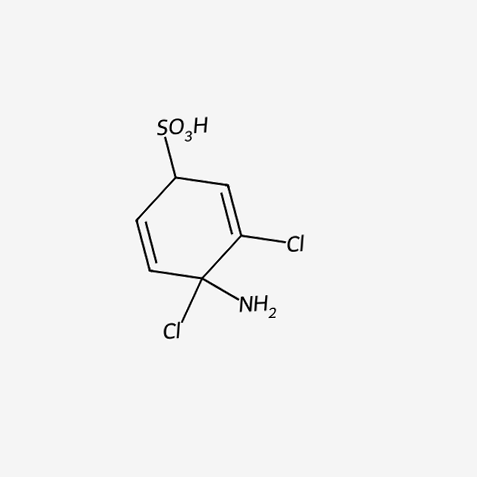 NC1(Cl)C=CC(S(=O)(=O)O)C=C1Cl